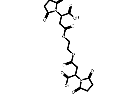 O=C(CC(C(=O)O)N1C(=O)CCC1=O)OCCOC(=O)CC(C(=O)O)N1C(=O)CCC1=O